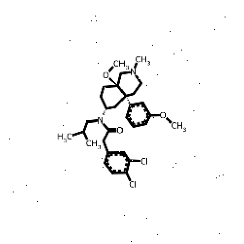 COc1cccc([C@@]23CCN(C)C[C@@]2(OC)CC[C@@H](N(CC(C)C)C(=O)Cc2ccc(Cl)c(Cl)c2)C3)c1